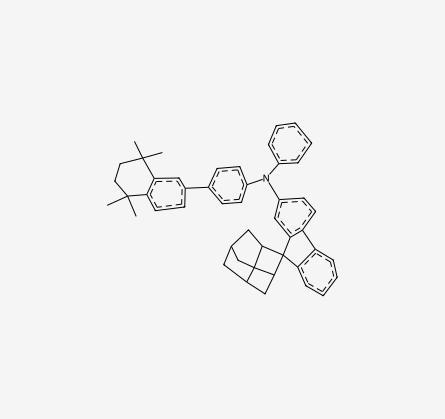 CC1(C)CCC(C)(C)c2cc(-c3ccc(N(c4ccccc4)c4ccc5c(c4)C4(c6ccccc6-5)C5CC6CC7CC4C75C6)cc3)ccc21